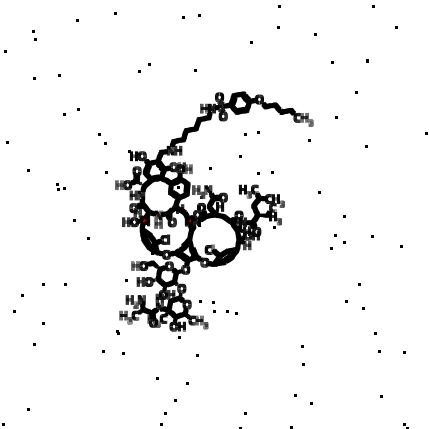 CCCCCOc1ccc(S(=O)(=O)NCCCCCCNCc2c(O)cc3c(c2O)-c2cc(ccc2O)[C@H]2CC(=O)[C@@H]4NC(=O)[C@H](CC(N)=O)CC(=O)[C@H](NC(=O)[C@H](CC)CC(C)C)[C@H](O)c5ccc(c(Cl)c5)Oc5cc4cc(c5O[C@@H]4O[C@H](CO)[C@@H](O)[C@H](O)[C@H]4O[C@H]4C[C@](C)(NC(=O)[C@@H](C)N)[C@H](O)[C@H](C)O4)Oc4ccc(cc4Cl)[C@@H](O)[C@H](NC2=O)C(=O)N[C@@H]3C(=O)O)cc1